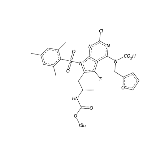 Cc1cc(C)c(S(=O)(=O)n2c(C[C@H](C)NC(=O)OC(C)(C)C)c(F)c3c(N(Cc4ccco4)C(=O)O)nc(Cl)nc32)c(C)c1